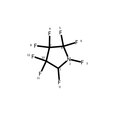 FC1N(F)C(F)(F)C(F)(F)C1(F)F